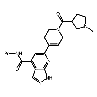 CC(C)NC(=O)c1cc(C2=CCN(C(=O)C3CCN(C)C3)CC2)nc2[nH]ncc12